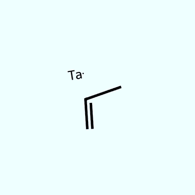 C=CC.[Ta]